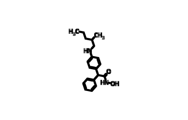 CCCC(C)CNc1ccc(C(C(=O)NO)c2ccccc2)cc1